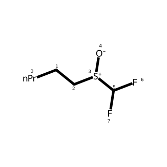 [CH2]CCCC[S+]([O-])C(F)F